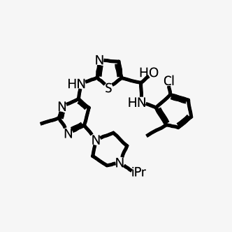 Cc1nc(Nc2ncc(C(O)Nc3c(C)cccc3Cl)s2)cc(N2CCN(C(C)C)CC2)n1